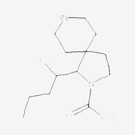 CCCC(F)C1N(C(=O)O)CCC12CCNCC2